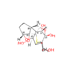 CC1=C[C@H]2O[C@@H]3CC[C@](C)([C@]24CO[C@@]1(O)[C@H]4O)[C@@]3(CSCCO)OO